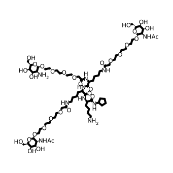 CC(=O)N[C@H]1[C@H](OCCOCCOCCOCC(=O)NCCCCC(NC(=O)COCCOCCOCCO[C@@H]2O[C@H](CO)[C@H](O)[C@H](O)[C@H]2N)C(=O)NC(CCCCNC(=O)COCCOCCOCCO[C@@H]2O[C@H](CO)[C@H](O)[C@H](O)[C@H]2NC(C)=O)C(=O)NC(CCCCN)C(=O)NC2CCCC2)O[C@H](CO)[C@H](O)[C@@H]1O